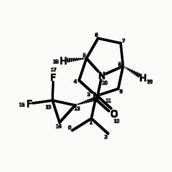 CC(C)N1C[C@H]2CC[C@@H](C1)N2C(=O)[C@@H]1CC1(F)F